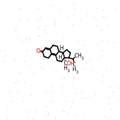 CC(C)[C@]1(O)CC[C@H]2[C@@H]3CCC4=CC(=O)CCC4=C3CC[C@@]21C